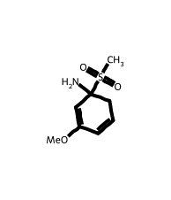 COC1=CC(N)(S(C)(=O)=O)CC=C1